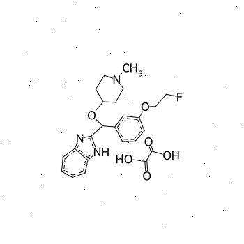 CN1CCC(OC(c2cccc(OCCF)c2)c2nc3ccccc3[nH]2)CC1.O=C(O)C(=O)O